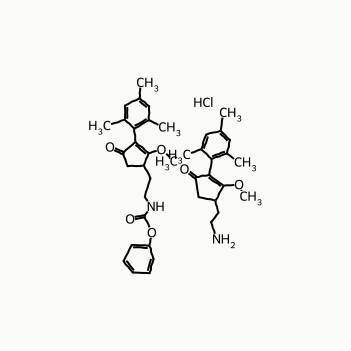 COC1=C(c2c(C)cc(C)cc2C)C(=O)CC1CCN.COC1=C(c2c(C)cc(C)cc2C)C(=O)CC1CCNC(=O)Oc1ccccc1.Cl